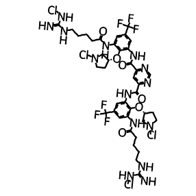 N=C(NCl)NCCCCC(=O)Nc1cc(C(F)(F)F)cc(NC(=O)c2cc(C(=O)Nc3cc(C(F)(F)F)cc(NC(=O)CCCCNC(=N)NCl)c3O[C@@H]3CCN(Cl)C3)ncn2)c1O[C@@H]1CCN(Cl)C1